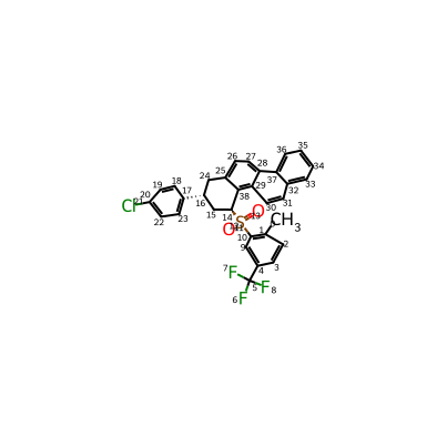 Cc1ccc(C(F)(F)F)cc1S(=O)(=O)[C@H]1C[C@H](c2ccc(Cl)cc2)Cc2ccc3c(ccc4ccccc43)c21